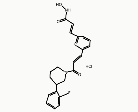 Cl.O=C(C=Cc1cccc(C=CC(=O)N2CCCC(c3ccccc3F)C2)n1)NO